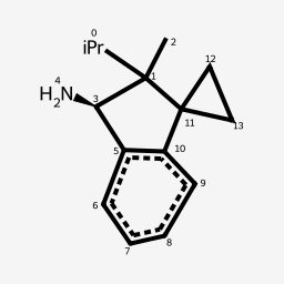 CC(C)C1(C)[C@H](N)c2ccccc2C12CC2